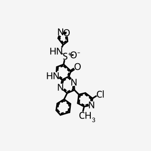 Cc1cc(-c2nc3c(=O)c([S+]([O-])Nc4cnoc4)c[nH]c3nc2-c2ccccc2)cc(Cl)n1